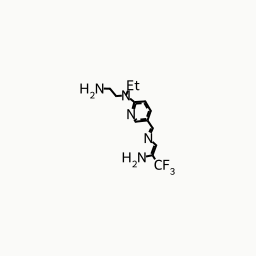 CCN(CCN)c1ccc(/C=N/C=C(\N)C(F)(F)F)cn1